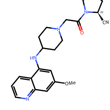 COc1cc(NC2CCN(CC(=O)N3CCC[C@H]3C#N)CC2)c2cccnc2c1